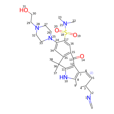 C=NCC(C)/C=C\c1c(C)[nH]c2c1C(=O)c1cc(S(=O)(=O)N(C)C)c(N3CCN(CCO)CC3)cc1C2(C)C